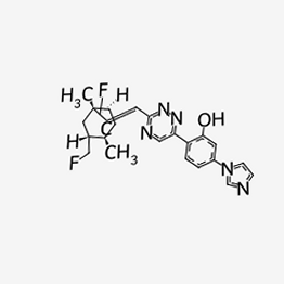 C[C@@]12CC[C@@](C)(C[C@H]1CF)[C@@H](F)/C(=C/c1ncc(-c3ccc(-n4ccnc4)cc3O)nn1)C2